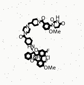 COc1ccc(C(=O)N2CCC(CN3CCN(C(=O)C4CCC(NC[C@]5(c6ccccc6)Oc6cc(F)c(Cl)c(-c7c(C(N)=O)ccc(OC)c7F)c6[C@@H]5C)CC4)CC3)CC2)cc1N1CCC(=O)NC1=O